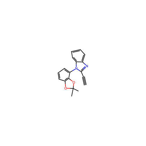 C#Cc1nc2ccccc2n1-c1cccc2c1OC(C)(C)O2